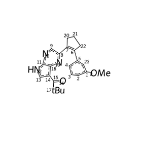 COc1cccc(C2=C(c3cnc4[nH]cc(C(=O)C(C)(C)C)c4n3)CCC2)c1